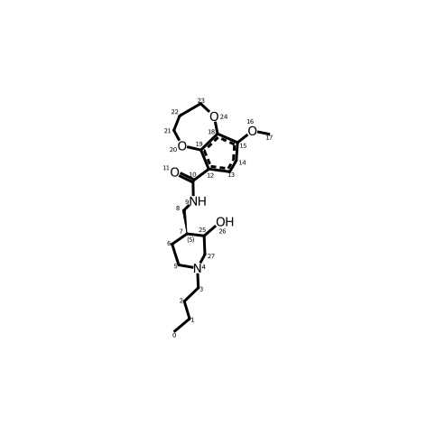 CCCCN1CC[C@@H](CNC(=O)c2ccc(OC)c3c2OCCCO3)C(O)C1